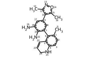 Cc1ccc2c(c1-c1cc(-c3c(C)noc3C)cc(N)c1N)C=CCN2